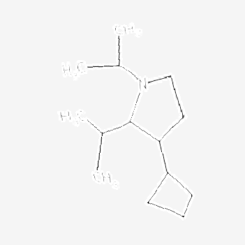 CC(C)C1C(C2CCC2)CCN1C(C)C